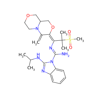 C=C1/C(=C(\N=C(/N)n2c(NC(C)C)nc3ccccc32)C(C)(C)S(C)(=O)=O)OCC2COCCN12